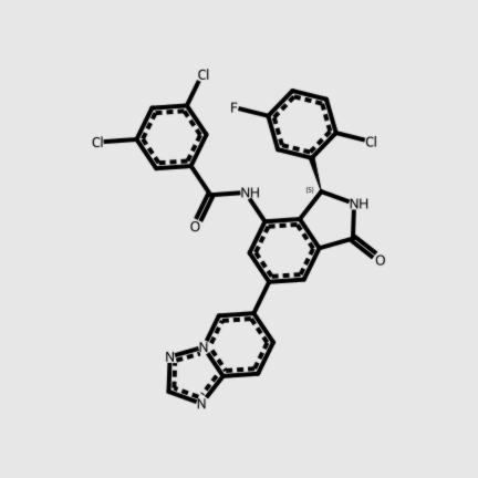 O=C(Nc1cc(-c2ccc3ncnn3c2)cc2c1[C@@H](c1cc(F)ccc1Cl)NC2=O)c1cc(Cl)cc(Cl)c1